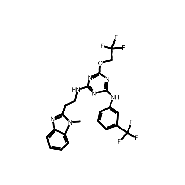 Cn1c(CCNc2nc(Nc3cccc(C(F)(F)F)c3)nc(OCC(F)(F)F)n2)nc2ccccc21